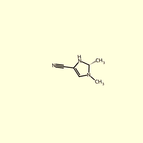 C[C@H]1NC(C#N)=CN1C